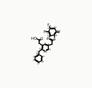 O=C(O)Cc1cc(Cc2nc3c(F)c(F)cc(F)c3s2)cnc1Cc1ccccc1